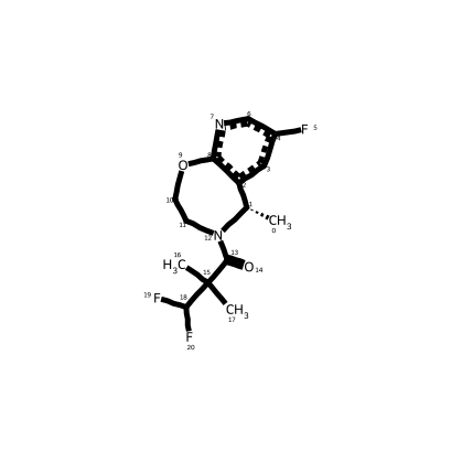 C[C@H]1c2cc(F)cnc2OCCN1C(=O)C(C)(C)C(F)F